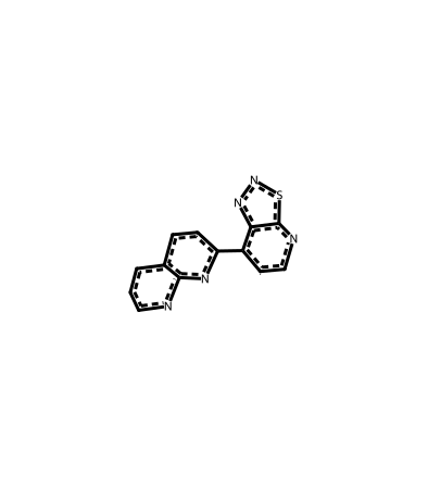 [c]1cnc2snnc2c1-c1ccc2cccnc2n1